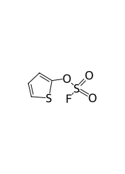 O=S(=O)(F)Oc1cccs1